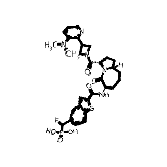 CN(C)c1cccnc1C1CN(C(=O)[C@@H]2CC[C@@H]3CCC[C@H](NC(=O)c4cc5cc(C(F)P(=O)(O)O)ccc5s4)C(=O)N32)C1